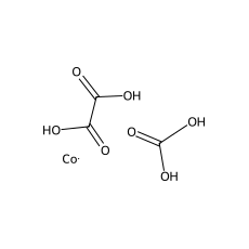 O=C(O)C(=O)O.O=C(O)O.[Co]